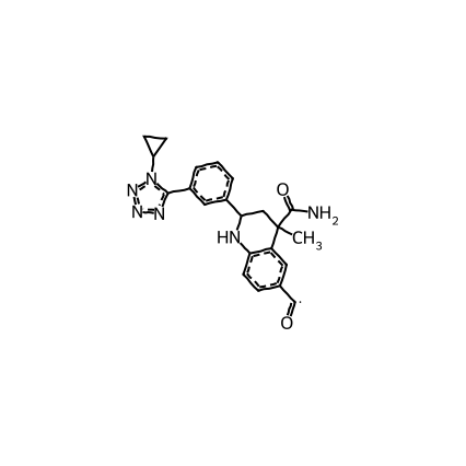 CC1(C(N)=O)CC(c2cccc(-c3nnnn3C3CC3)c2)Nc2ccc([C]=O)cc21